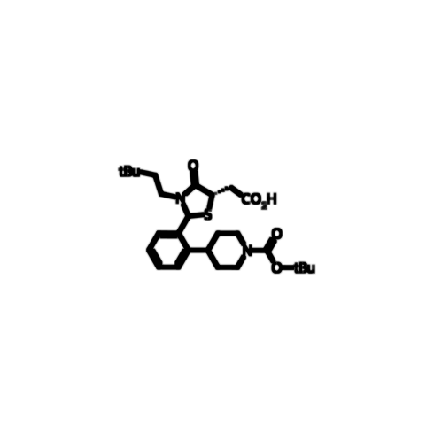 CC(C)(C)CCN1C(=O)[C@H](CC(=O)O)SC1c1ccccc1C1CCN(C(=O)OC(C)(C)C)CC1